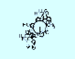 CCn1c(-c2cnccc2COC)c2c3cc(ccc31)-c1cc(O)cc(c1)C[C@H](NC(=O)[C@H](C(C)C)N(C)C(=O)[C@H]1CCN(C(=O)[C@@H]3CO3)C1)C(=O)N1CCC[C@H](N1)C(=O)OCC(C)(C)C2